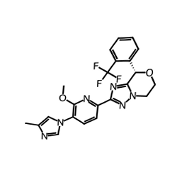 COc1nc(-c2nc3n(n2)CCO[C@H]3c2ccccc2C(F)(F)F)ccc1-n1cnc(C)c1